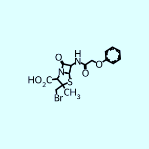 CC1(CBr)SC2C(NC(=O)COc3ccccc3)C(=O)N2C1C(=O)O